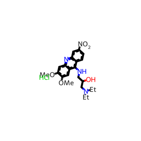 CCN(CC)CC(O)CNc1c2ccc([N+](=O)[O-])cc2nc2cc(OC)c(OC)cc12.Cl